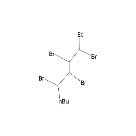 [CH2]CCCC(Br)C(Br)C(Br)C(Br)C[CH2]